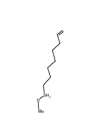 C=CCCCCCC[SiH2]OC(C)(C)C